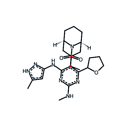 CCS(=O)(=O)N1[C@@H]2CCC[C@H]1CC(c1c(Nc3cc(C)[nH]n3)nc(NC)nc1C1CCCO1)C2